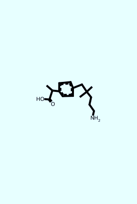 CC(C(=O)O)c1ccc(CC(C)(C)CCCN)cc1